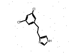 Clc1cc(Cl)cc(CCc2c[nH]cn2)c1